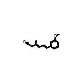 COc1cccc(/C=C/C=C(\C)CC#N)c1